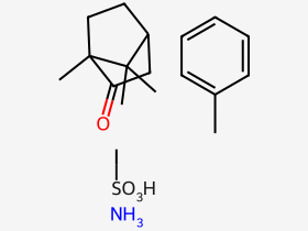 CC12CCC(CC1=O)C2(C)C.CS(=O)(=O)O.Cc1ccccc1.N